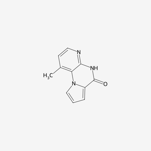 Cc1ccnc2[nH]c(=O)c3cccn3c12